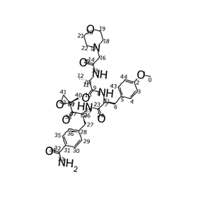 COc1ccc(C[C@H](NC(=O)[C@H](C)NC(=O)CN2CCOCC2)C(=O)N[C@@H](Cc2ccc(C(N)=O)cc2)C(=O)[C@@]2(C)CO2)cc1